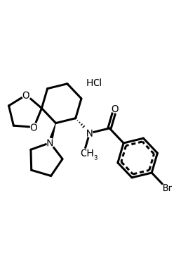 CN(C(=O)c1ccc(Br)cc1)[C@H]1CCCC2(OCCO2)[C@@H]1N1CCCC1.Cl